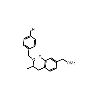 COCc1ccc(CC(C)OCc2ccc(C#N)cc2)c(F)c1